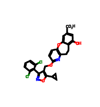 O=C(O)c1cc(O)c2c(c1)Oc1ccc(OCc3c(-c4c(Cl)cccc4Cl)noc3C3CC3)nc1CC2